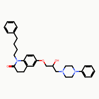 O=C1CCc2cc(OCC(O)CN3CCN(c4ccccc4)CC3)ccc2N1CCCCc1ccccc1